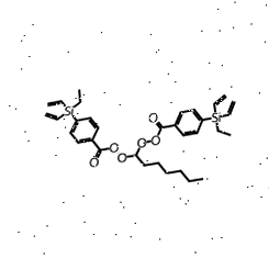 [CH2]CCCCC[C](OOC(=O)c1ccc([Si](C=C)(C=C)CC)cc1)OOC(=O)c1ccc([Si](C=C)(C=C)CC)cc1